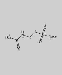 COS(=O)(=O)CCNC(=O)C(C)(C)C